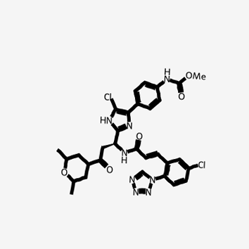 COC(=O)Nc1ccc(-c2nc([C@H](CC(=O)C3CC(C)OC(C)C3)NC(=O)/C=C/c3cc(Cl)ccc3-n3cnnn3)[nH]c2Cl)cc1